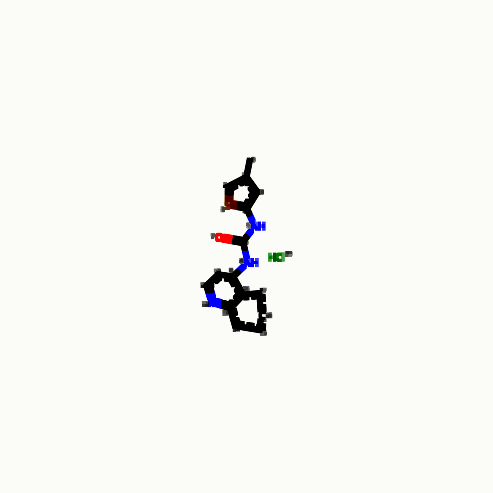 Cc1csc(NC(=O)Nc2ccnc3ccccc23)c1.Cl